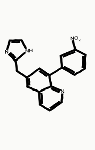 O=[N+]([O-])c1cccc(-c2cc(Cc3ncc[nH]3)cc3cccnc23)c1